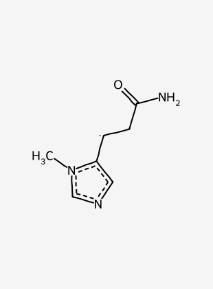 Cn1cncc1[CH]CC(N)=O